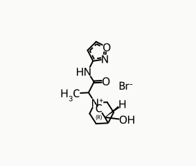 CC(C(=O)Nc1ccon1)[N+]12CCC(CC1)[C@@H](O)C2.[Br-]